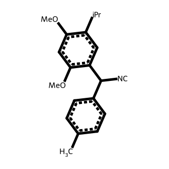 [C-]#[N+]C(c1ccc(C)cc1)c1cc(C(C)C)c(OC)cc1OC